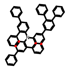 c1ccc(-c2ccc(N(c3cccc(-c4ccc(-c5ccccc5)c(-c5ccccc5)c4)c3)c3ccc(-c4ccccc4)cc3-c3ccccc3)c(-c3ccccc3)c2)cc1